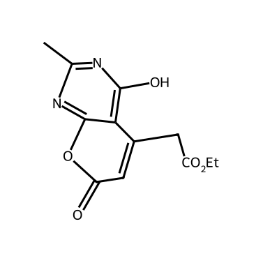 CCOC(=O)Cc1cc(=O)oc2nc(C)nc(O)c12